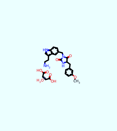 COc1cccc(CC2NC(=O)N(Cc3ccc4[nH]cc(CCN)c4c3)C2=O)c1.O.O=C(O)/C=C\C(=O)O